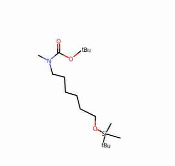 CN(CCCCCCO[Si](C)(C)C(C)(C)C)C(=O)OC(C)(C)C